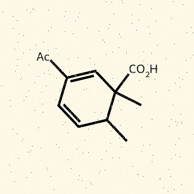 CC(=O)C1=CC(C)(C(=O)O)C(C)C=C1